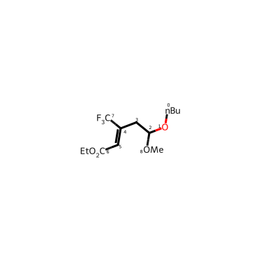 CCCCOC(CC(=CC(=O)OCC)C(F)(F)F)OC